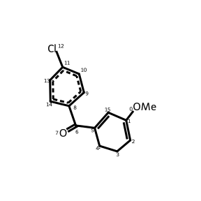 COC1=CC[CH]C(C(=O)c2ccc(Cl)cc2)=C1